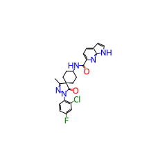 CC1=NN(c2ccc(F)cc2Cl)C(=O)[C@]12CC[C@H](NC(=O)c1ccc3cc[nH]c3n1)CC2